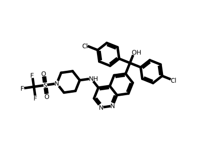 O=S(=O)(N1CCC(Nc2cnnc3ccc(C(O)(c4ccc(Cl)cc4)c4ccc(Cl)cc4)cc23)CC1)C(F)(F)F